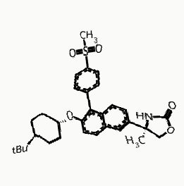 CC(C)(C)[C@H]1CC[C@H](Oc2ccc3cc([C@]4(C)COC(=O)N4)ccc3c2-c2ccc(S(C)(=O)=O)cc2)CC1